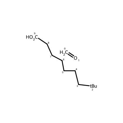 C=O.CC(C)(C)CCCCCCC(=O)O